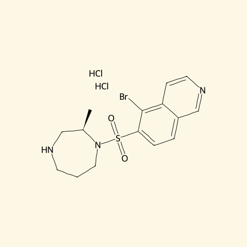 C[C@@H]1CNCCCN1S(=O)(=O)c1ccc2cnccc2c1Br.Cl.Cl